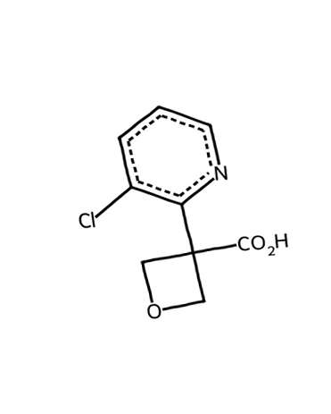 O=C(O)C1(c2ncccc2Cl)COC1